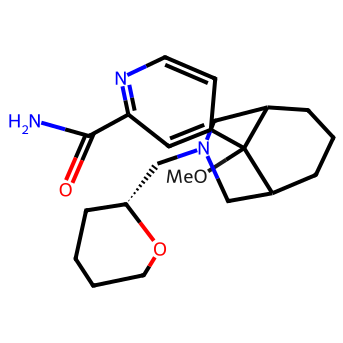 COC1(c2ccnc(C(N)=O)c2)C2CCCC1CN(C[C@H]1CCCCO1)C2